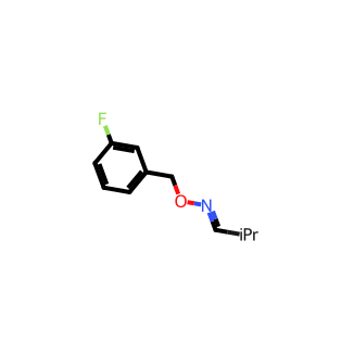 CC(C)C=NOCc1cccc(F)c1